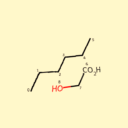 CCCCCC.O=C(O)CO